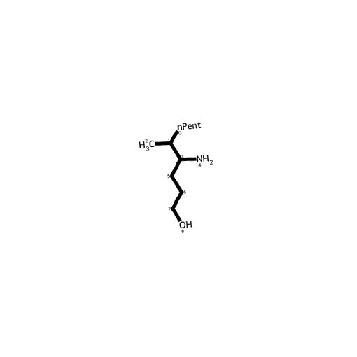 CCCCCC(C)C(N)CCCO